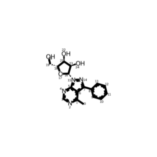 Cc1ncnc2c1c(-c1ccccc1)nn2[C@@H]1O[C@H](CO)[C@@H](O)[C@H]1O